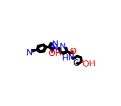 N#Cc1ccc(-c2cnn(-c3ccc(C(=O)NC4CCC(O)CC4)cn3)c2O)cc1